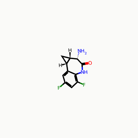 N[C@@H]1C(=O)Nc2c(F)cc(F)cc2[C@@H]2C[C@H]12